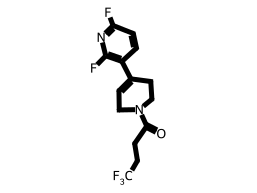 O=C(CCC(F)(F)F)N1CC=C(c2ccc(F)nc2F)CC1